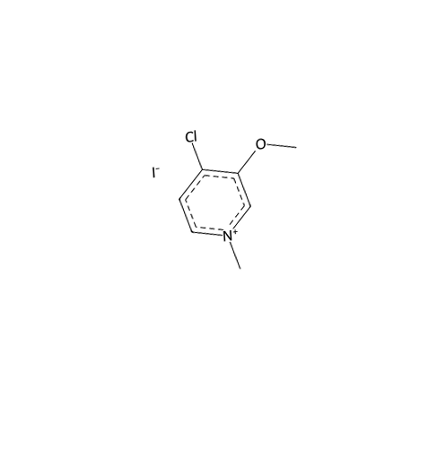 COc1c[n+](C)ccc1Cl.[I-]